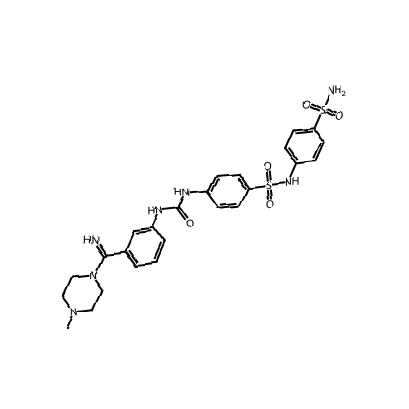 CN1CCN(C(=N)c2cccc(NC(=O)Nc3ccc(S(=O)(=O)Nc4ccc(S(N)(=O)=O)cc4)cc3)c2)CC1